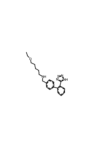 CCOCCCCCNCc1ccc(-c2ccccc2-c2nnn[nH]2)cc1